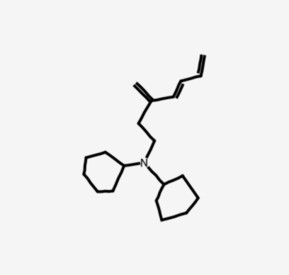 C=CC=CC(=C)CCN(C1CCCCC1)C1CCCCC1